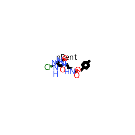 CCCCCn1c(=O)n(CCCNC(=O)OCc2ccc(C)cc2)c(=O)c2[nH]c(Cl)nc21